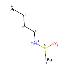 CC(C)CCCN[S+]([O-])C(C)(C)C